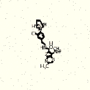 CNc1c(C(O)NCCc2ccc(N3C[C@H]4CC[C@@H](C3)N4)c(Cl)c2)sc2nc(C)cnc12